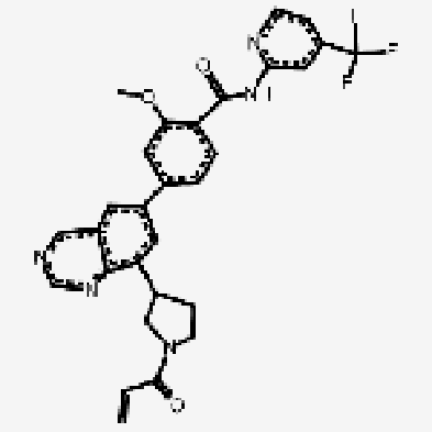 C=CC(=O)N1CCC(c2cc(-c3ccc(C(=O)Nc4cc(C(F)(F)F)ccn4)c(OC)c3)cc3cncnc23)C1